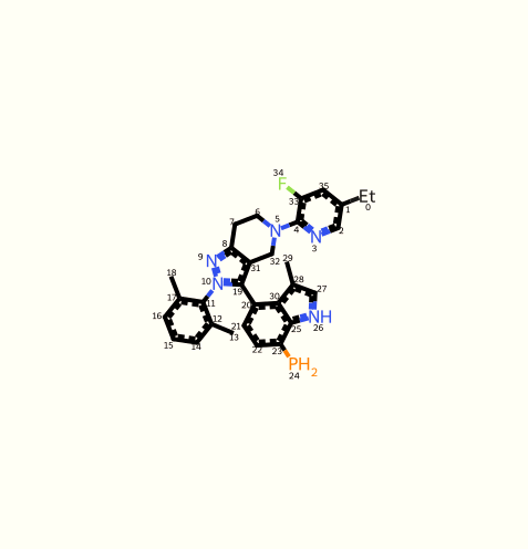 CCc1cnc(N2CCc3nn(-c4c(C)cccc4C)c(-c4ccc(P)c5[nH]cc(C)c45)c3C2)c(F)c1